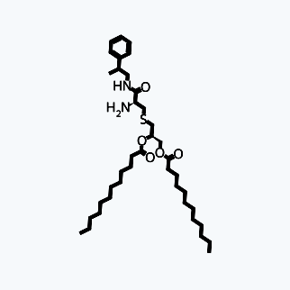 CCCCCCCCCCCC(=O)OC[C@H](CSC[C@H](N)C(=O)NCC(C)c1ccccc1)OC(=O)CCCCCCCCCCC